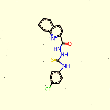 O=C(NNC(=S)Nc1ccc(Cl)cc1)c1ccc2ccccc2n1